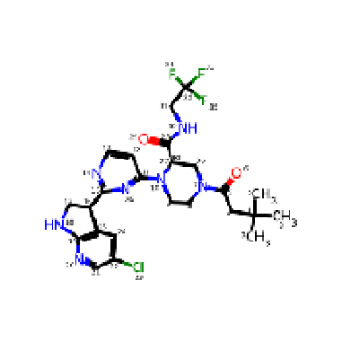 CC(C)(C)CC(=O)N1CCN(c2ccnc(C3CNc4ncc(Cl)cc43)n2)[C@@H](C(=O)NCC(F)(F)F)C1